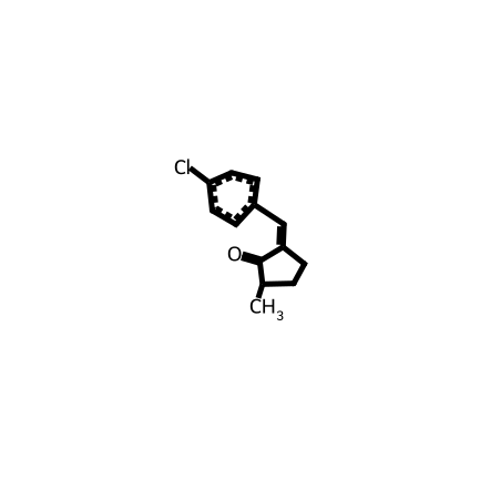 CC1CCC(=Cc2ccc(Cl)cc2)C1=O